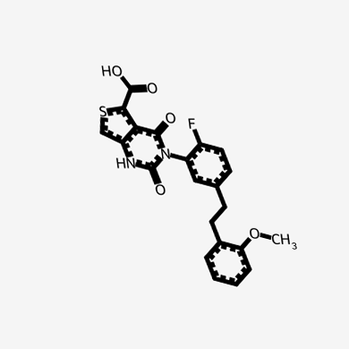 COc1ccccc1CCc1ccc(F)c(-n2c(=O)[nH]c3csc(C(=O)O)c3c2=O)c1